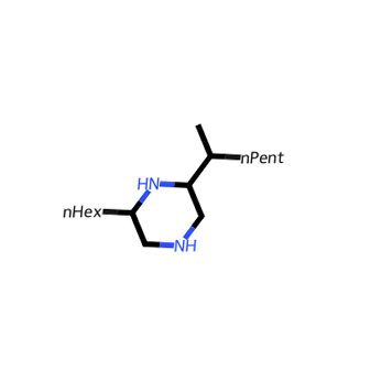 [CH2]CCCCC(C)C1CNCC(CCCCCC)N1